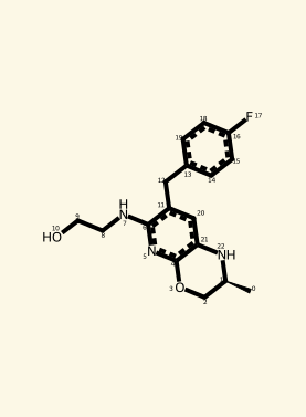 C[C@H]1COc2nc(NCCO)c(Cc3ccc(F)cc3)cc2N1